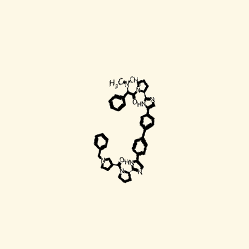 CN(C)[C@@H](C(=O)N1CCC[C@H]1c1ncc(-c2ccc(-c3ccc(-c4cnc([C@@H]5CCCN5C(=O)[C@H]5CCN(Cc6ccccc6)C5)[nH]4)cc3)cc2)[nH]1)c1ccccc1